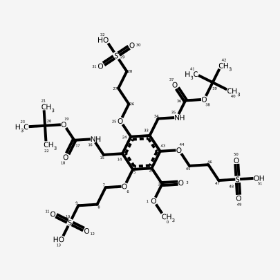 COC(=O)c1c(OCCCS(=O)(=O)O)c(CNC(=O)OC(C)(C)C)c(OCCCS(=O)(=O)O)c(CNC(=O)OC(C)(C)C)c1OCCCS(=O)(=O)O